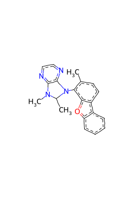 Cc1ccc2c(oc3ccccc32)c1N1c2nccnc2N(C)C1C